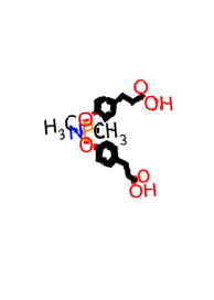 CN=P(C)(Oc1ccc(CCC(=O)O)cc1)Oc1ccc(CCC(=O)O)cc1